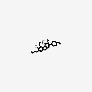 C=CCCc1cc2c(c(F)c1F)-c1c(cc(C3CCC(C=C)CC3)c(F)c1F)C2